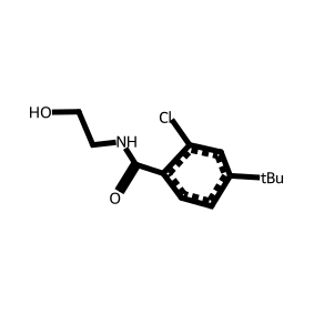 CC(C)(C)c1ccc(C(=O)NCCO)c(Cl)c1